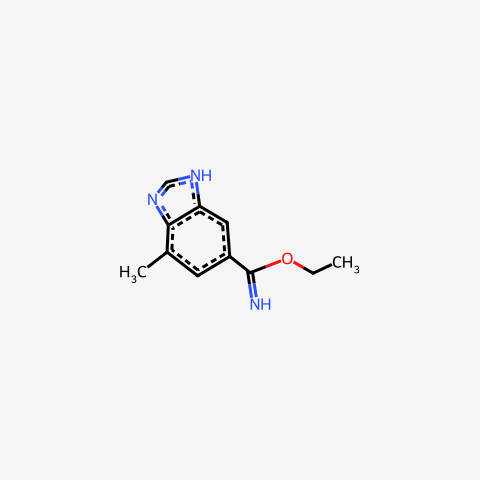 CCOC(=N)c1cc(C)c2nc[nH]c2c1